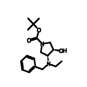 CCN(Cc1ccccc1)[C@@H]1CN(C(=O)OC(C)(C)C)C[C@H]1O